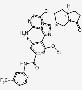 CCOc1cc(C(=O)Nc2cc(C(F)(F)F)ccn2)cc(F)c1-c1nc([C@@H]2CC[C@H]3CCC(=O)N3C2)n2c(Cl)cnc(N)c12